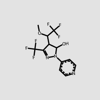 COC(C1C(C(F)(F)F)=NN(c2ccncc2)C1O)C(F)(F)F